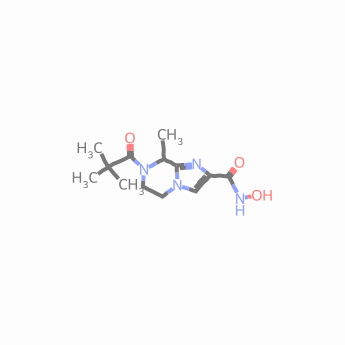 CC1c2nc(C(=O)NO)cn2CCN1C(=O)C(C)(C)C